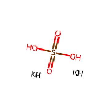 O=S(=O)(O)O.[KH].[KH]